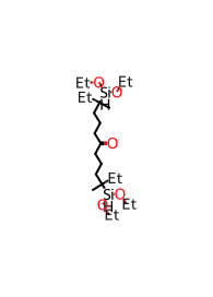 CCO[SiH](OCC)C(C)(CC)CCCC(=O)CCCC(C)(CC)[SiH](OCC)OCC